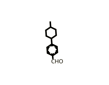 CC1CCC(c2ccc(C=O)cc2)CC1